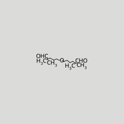 CC(C)(C=O)CCCCOCCCCC(C)(C)C=O